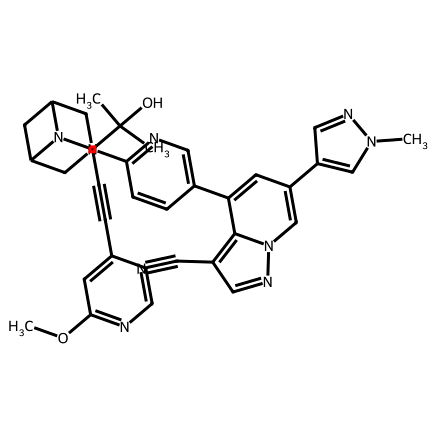 COc1cc(C#CC(N2C3CC2CN(c2ccc(-c4cc(-c5cnn(C)c5)cn5ncc(C#N)c45)cn2)C3)C(C)(C)O)ccn1